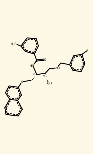 Cc1cccc(C(=O)N[C@@H](CSc2ccc3ccccc3c2)[C@@H](O)CNCc2cccc(I)c2)c1